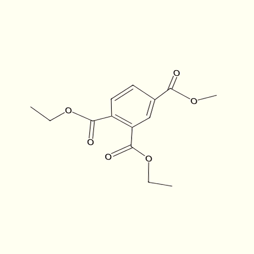 CCOC(=O)c1ccc(C(=O)OC)cc1C(=O)OCC